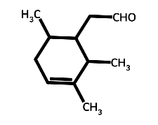 CC1=CCC(C)C(CC=O)C1C